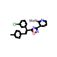 CNc1ncccc1-c1noc(/C(=C/c2ccc(C)cc2)c2cccc(Cl)c2)n1